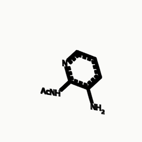 CC(=O)Nc1ncccc1N